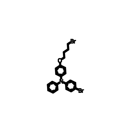 BrCCCCOc1ccc(N(c2ccccc2)c2ccc(Br)cc2)cc1